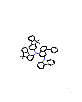 CC1(C)c2ccccc2-c2ccc(N(c3cccc4c3-c3ccccc3C4(C)C)c3cc(-n4c5ccccc5c5ccccc54)cc4c(-c5ccccc5)cccc34)cc21